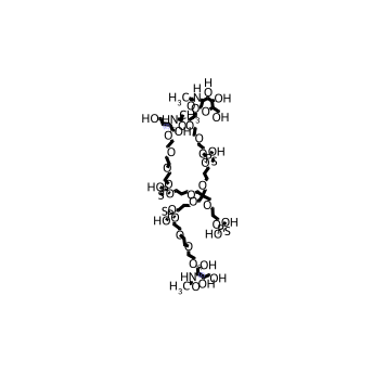 CC(=O)N/C(=C\CO)[C@@H](O)OCCOCCOCCOP(O)(=S)OCCCOCC(COCCCOP(O)(O)=S)(COCCCOP(O)(=S)OCCOCCOCCOC1OC(CO)C(O)C(O)C1NC(C)=O)COCCCOP(O)(=S)OCCOCCOCCO[C@H](O)/C(NC(C)=O)=C(/O)CO